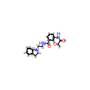 CC1Oc2c(cccc2C(=O)NCCN2CCc3ccccc32)NC1=O